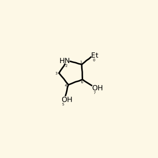 CCC1NCC(O)C1O